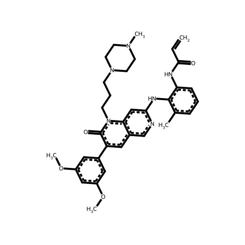 C=CC(=O)Nc1cccc(C)c1Nc1cc2c(cn1)cc(-c1cc(OC)cc(OC)c1)c(=O)n2CCCN1CCN(C)CC1